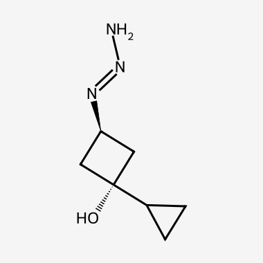 NN=N[C@H]1C[C@@](O)(C2CC2)C1